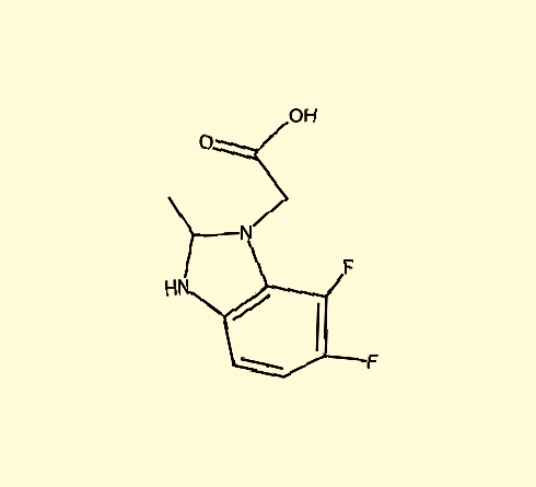 CC1Nc2ccc(F)c(F)c2N1CC(=O)O